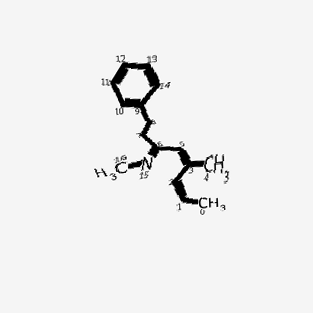 C\C=C/C(C)=C\C(CCc1ccccc1)=N\C